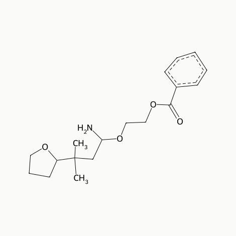 CC(C)(CC(N)OCCOC(=O)c1ccccc1)C1CCCO1